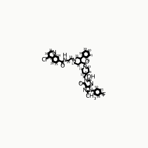 Cc1nc2c(=O)n(CC3(O)CCN(C(=O)C4CCN(CCNC(=O)c5ccc6c(Cl)ccnc6c5)CC4c4ccccc4)CC3)cnc2n1-c1ccc(F)cc1